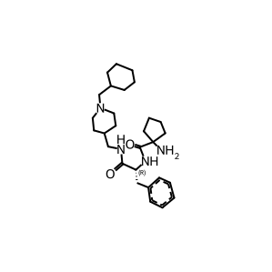 NC1(C(=O)N[C@H](Cc2ccccc2)C(=O)NCC2CCN(CC3CCCCC3)CC2)CCCC1